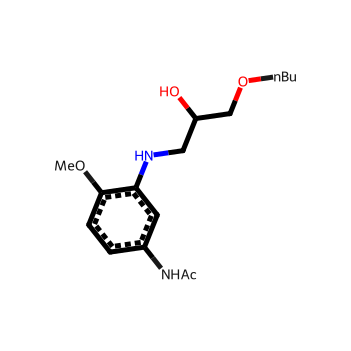 CCCCOCC(O)CNc1cc(NC(C)=O)ccc1OC